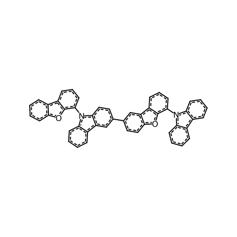 c1ccc2c(c1)oc1c(-n3c4ccccc4c4cc(-c5ccc6oc7c(-n8c9ccccc9c9ccccc98)cccc7c6c5)ccc43)cccc12